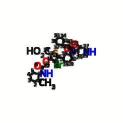 Cc1ccccc1NC(=O)COc1c(C(=O)O)sc(-c2cccc(N(C3CCNCC3)S(=O)(=O)Cc3ccccc3)c2)c1Br